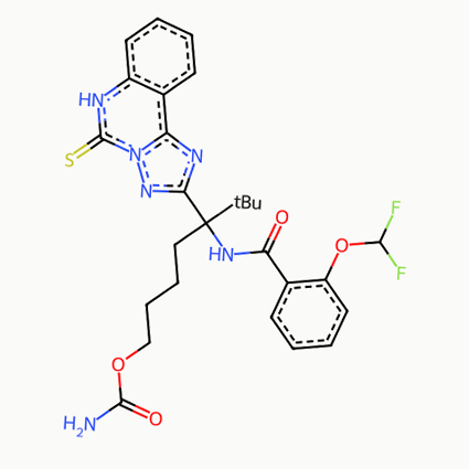 CC(C)(C)C(CCCCOC(N)=O)(NC(=O)c1ccccc1OC(F)F)c1nc2c3ccccc3[nH]c(=S)n2n1